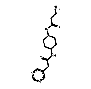 NCCC(=O)NC1CCC(NC(=O)Cc2cncnc2)CC1